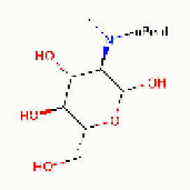 CCCCCN(C)[C@H]1C(O)O[C@H](CO)[C@@H](O)[C@@H]1O